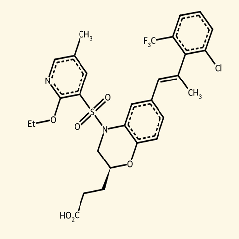 CCOc1ncc(C)cc1S(=O)(=O)N1C[C@H](CCC(=O)O)Oc2ccc(/C=C(\C)c3c(Cl)cccc3C(F)(F)F)cc21